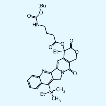 CCC1(OC(=O)CCCNC(=O)OC(C)(C)C)C(=O)OCc2c1cc1n(c2=O)Cc2c-1nc1ccccc1c2[Si](C)(C)CC